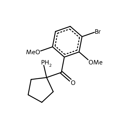 COc1ccc(Br)c(OC)c1C(=O)C1(P)CCCC1